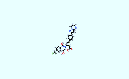 COCCN(c1cc(-c2ccc(-c3cc4ncccn4n3)cc2)sc1C(=O)O)C(=O)[C@H]1CC[C@H](C(F)(F)F)CC1